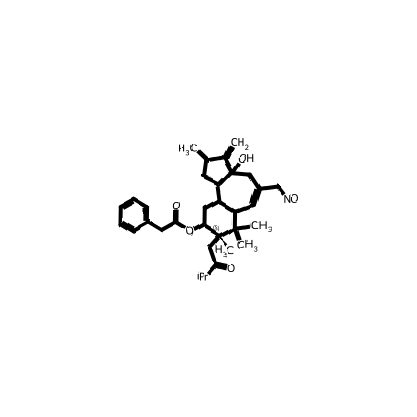 C=C1C(C)CC2C3CC(OC(=O)Cc4ccccc4)[C@@](C)(CC(=O)C(C)C)C(C)(C)C3C=C(CN=O)CC12O